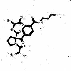 CC(C)C(NC(=O)[C@]1(C(=O)c2ccc(C(=O)NCCCC(=O)O)cc2)CCCN1C(=O)[C@@H](N)C(C)C)C(=O)C(F)(F)F